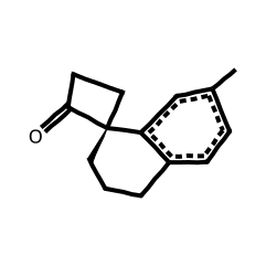 Cc1ccc2c(c1)[C@@]1(CCC2)CCC1=O